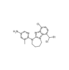 CCC(CC)c1ccc(Cl)c2nc3n(c12)CCCCN3c1ncc(N)cc1C